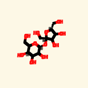 OCC1O[C@H](O[C@]2(CO)O[C@H](CO)C(O)C2O)C(O)C(O)[C@H]1O